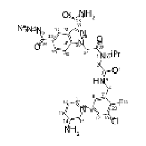 CC(C)N(CC(=O)NCc1cc(-[n+]2cccc(N)c2)cc(Cl)c1F)C(=O)Cn1nc(C(N)=O)c2cc(C(=O)N=[N+]=[N-])ccc21